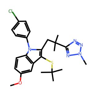 COc1ccc2c(c1)c(SC(C)(C)C)c(CC(C)(C)c1nnn(C)n1)n2-c1ccc(Cl)cc1